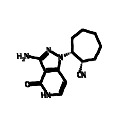 N#C[C@H]1CCCCC[C@H]1n1nc(N)c2c(=O)[nH]ccc21